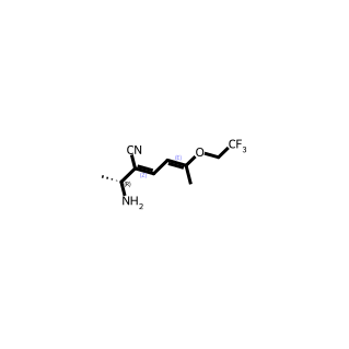 C/C(=C\C=C(/C#N)[C@@H](C)N)OCC(F)(F)F